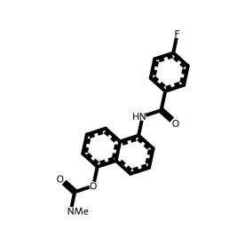 CNC(=O)Oc1cccc2c(NC(=O)c3ccc(F)cc3)cccc12